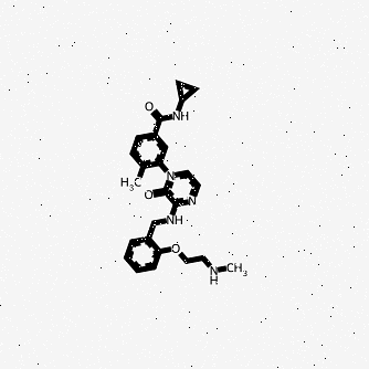 CNCCOc1ccccc1CNc1nccn(-c2cc(C(=O)NC3CC3)ccc2C)c1=O